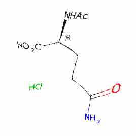 CC(=O)N[C@@H](CCC(N)=O)C(=O)O.Cl